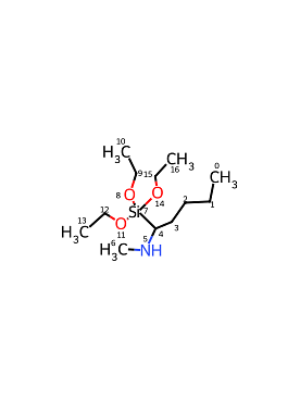 CCCCC(NC)[Si](OCC)(OCC)OCC